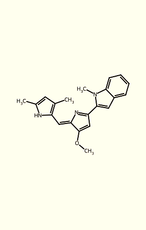 COC1=CC(c2cc3ccccc3n2C)=N/C1=C\c1[nH]c(C)cc1C